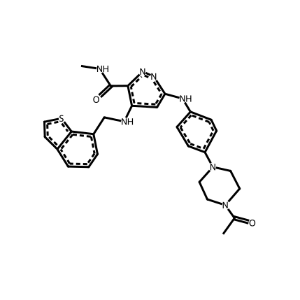 CNC(=O)c1nnc(Nc2ccc(N3CCN(C(C)=O)CC3)cc2)cc1NCc1cccc2ccsc12